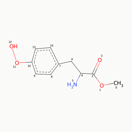 COC(=O)C(N)Cc1ccc(OO)cc1